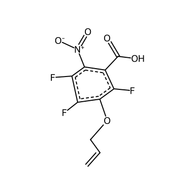 C=CCOc1c(F)c(F)c([N+](=O)[O-])c(C(=O)O)c1F